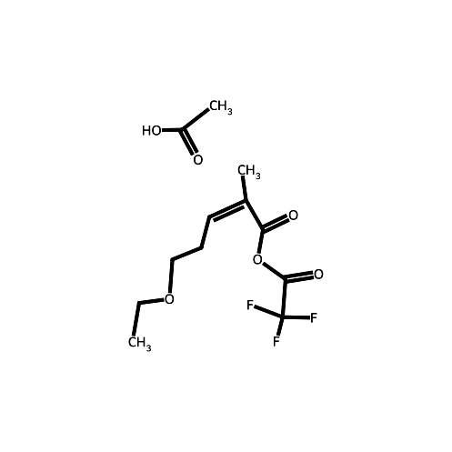 CC(=O)O.CCOCCC=C(C)C(=O)OC(=O)C(F)(F)F